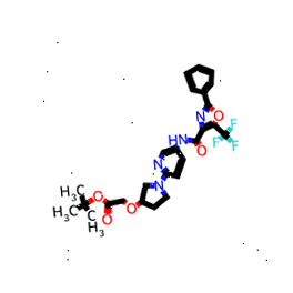 CC(C)(C)OC(=O)COC1CCN(c2ccc(NC(=O)c3nc(-c4ccccc4)oc3C(F)(F)F)cn2)C1